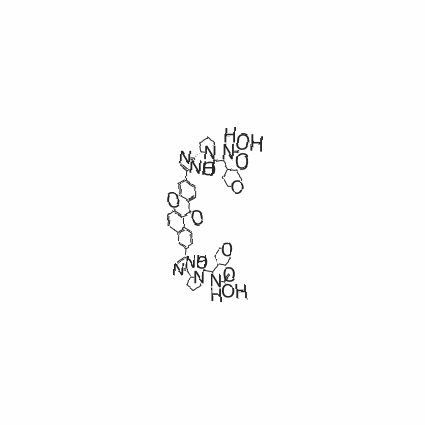 O=C(O)NC(C(=O)N1CCC[C@H]1c1ncc(-c2ccc3c(ccc4oc5cc(-c6cnc([C@@H]7CCCN7C(=O)C(NC(=O)O)C7CCOCC7)[nH]6)ccc5c(=O)c43)c2)[nH]1)C1CCOCC1